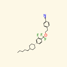 CCCCC[C@H]1CC[C@H](c2ccc(C(F)(F)OCCc3ccc(C#N)cc3)c(F)c2)CC1